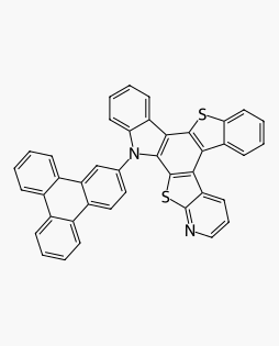 c1ccc2c(c1)sc1c2c2c3cccnc3sc2c2c1c1ccccc1n2-c1ccc2c3ccccc3c3ccccc3c2c1